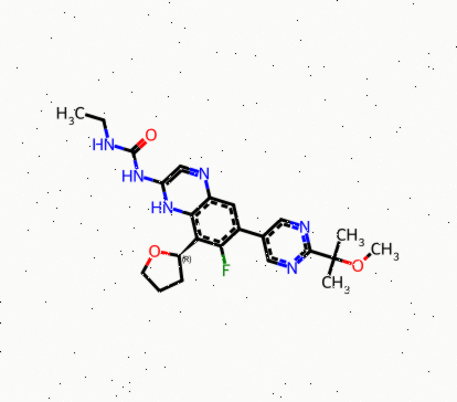 CCNC(=O)NC1=C=Nc2cc(-c3cnc(C(C)(C)OC)nc3)c(F)c([C@H]3CCCO3)c2N1